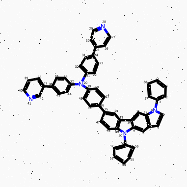 c1ccc(-n2ccc3cc4c(cc32)c2cc(-c3ccc(N(c5ccc(-c6ccncc6)cc5)c5ccc(-c6cccnc6)cc5)cc3)ccc2n4-c2ccccc2)cc1